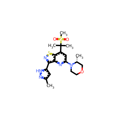 Cc1cc(-c2nsc3c(C(C)(C)S(C)(=O)=O)cc(N4CCOC[C@H]4C)nc23)[nH]n1